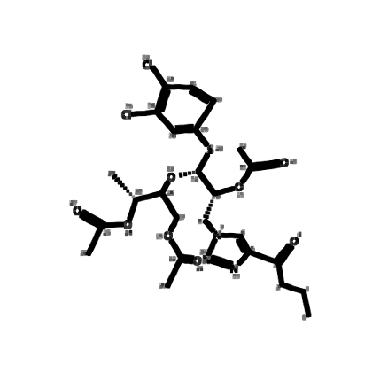 CCCC(=O)c1cn(C[C@@H](OC(C)=O)[C@H](OC(COC(C)=O)[C@@H](C)OC(C)=O)Sc2ccc(Cl)c(Cl)c2)nn1